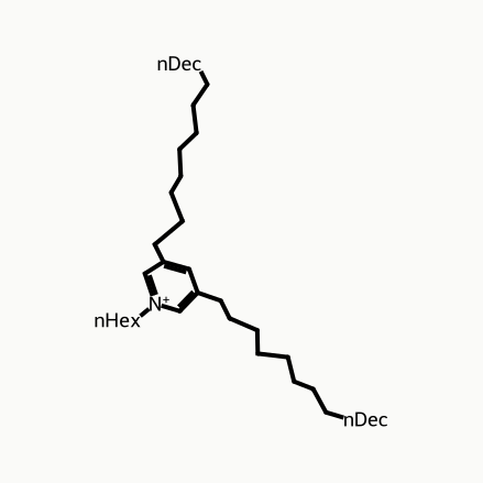 CCCCCCCCCCCCCCCCCCc1cc(CCCCCCCCCCCCCCCCCC)c[n+](CCCCCC)c1